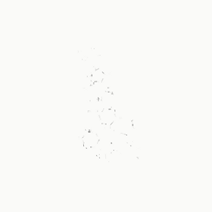 C=CC(=O)N1CCC[C@H]1COc1c(N)ncnc1-c1ccnc(N2CCn3c(cc4c3CC(C)(C)C4)C2=O)c1C